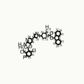 CC(Oc1cc(-c2cnn(C3CCN(C(=O)OC4c5ccccc5-c5ccccc54)C(C)C3)c2)cnc1N)c1c(Cl)ccc(F)c1Cl